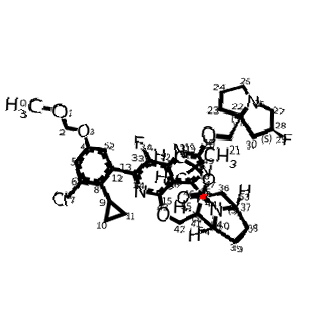 COCOc1cc(Cl)c(C2CC2)c(-c2nc3c4c(nc(OC[C@@]56CCCN5C[C@@H](F)C6)nc4c2F)N2C[C@@H]4CC[C@H]([C@H]2CO3)N4C(=O)OC(C)(C)C)c1